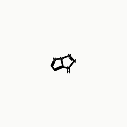 c1cc2[nH]nnn2n1